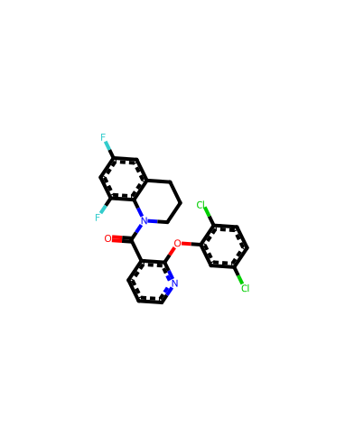 O=C(c1cccnc1Oc1cc(Cl)ccc1Cl)N1CCCc2cc(F)cc(F)c21